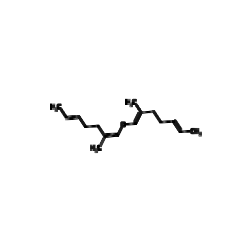 CC=CCCC(C)=COC=C(C)CCC=CC